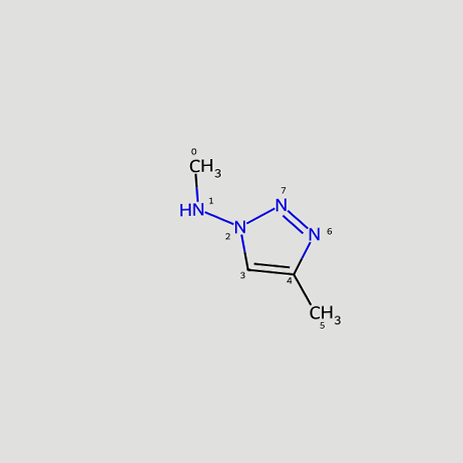 CNn1cc(C)nn1